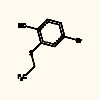 N#Cc1ccc(Br)cc1SCC(F)(F)F